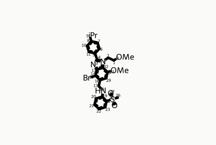 COCCn1c(-c2ccc(C(C)C)cc2)nc2c(Br)c(CNc3ccccc3S(C)(=O)=O)cc(OC)c21